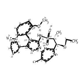 CCO[C@@H](c1ncc(Cl)cn1)[C@@H](C)S(=O)(=O)Nc1nnc(-c2cccnc2)n1-c1c(OC)cccc1OC